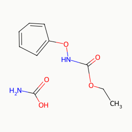 CCOC(=O)NOc1ccccc1.NC(=O)O